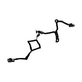 CC(C)(C)C[C@H]1C[C@H](NC(=O)OC(C)(C)C)C1